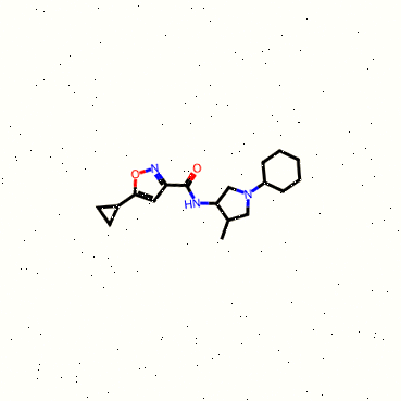 CC1CN(C2CCCCC2)CC1NC(=O)c1cc(C2CC2)on1